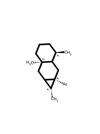 CC(=O)[C@@]12CC3[C@H](C)CCC[C@]3(C)CC1[C@H]2C